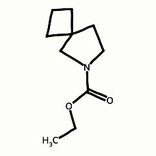 CCOC(=O)N1CCC2(CCC2)C1